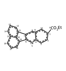 CCOC(=O)c1ccc2nc3c(cc2c1)-c1cccc2cccc-3c12